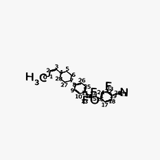 CC/C=C\[C@H]1CC[C@H](c2ccc(C(F)(F)Oc3ccc(C#N)c(F)c3)cc2)CC1